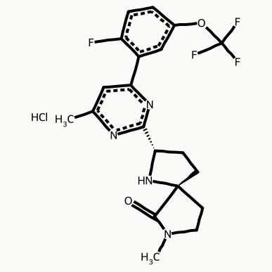 Cc1cc(-c2cc(OC(F)(F)F)ccc2F)nc([C@@H]2CC[C@]3(CCN(C)C3=O)N2)n1.Cl